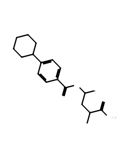 CCC(CC(C)C(=O)OC)OC(=O)c1ccc(C2CCCCC2)cc1